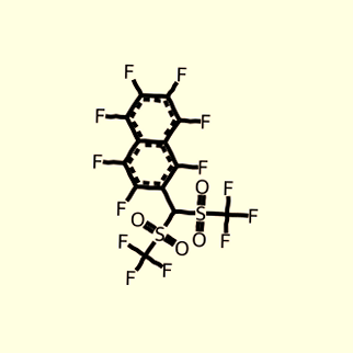 O=S(=O)(C(c1c(F)c(F)c2c(F)c(F)c(F)c(F)c2c1F)S(=O)(=O)C(F)(F)F)C(F)(F)F